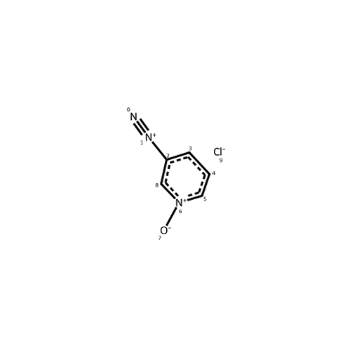 N#[N+]c1ccc[n+]([O-])c1.[Cl-]